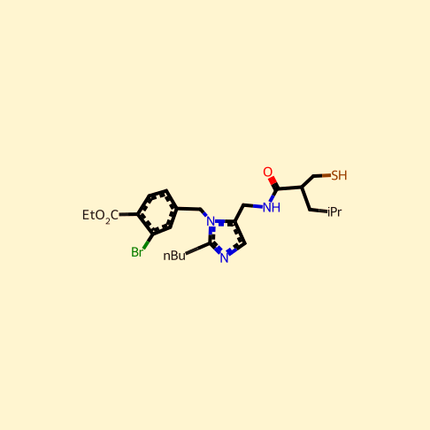 CCCCc1ncc(CNC(=O)C(CS)CC(C)C)n1Cc1ccc(C(=O)OCC)c(Br)c1